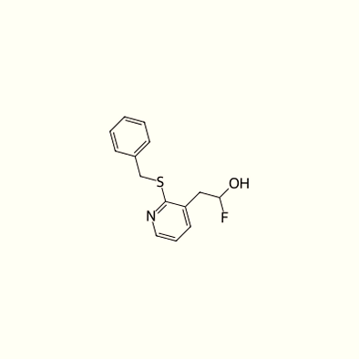 OC(F)Cc1cccnc1SCc1ccccc1